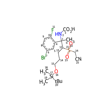 CC(NC(=O)O)(c1cc(Br)ccc1F)C(CCCO[Si](C)(C)C(C)(C)C)S(=O)(=O)CC#N